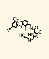 CN(CCO)Cc1nc(Cl)c(C(=O)NCc2ccc(Cl)c(Oc3cc(Cl)cc(C#N)c3)c2F)[nH]1